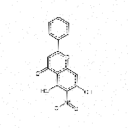 O=c1cc(-c2ccccc2)oc2cc(O)c([N+](=O)[O-])c(O)c12